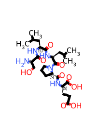 CC(C)C[C@H](NC(=O)[C@@H](N)CO)C(=O)N[C@@H](CC(C)C)C(=O)N1CCC[C@H]1C(=O)N[C@@H](CCC(=O)O)C(=O)O